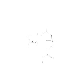 C=CC(=O)OC[N+](C)(C)CC(C)O.O=[N+]([O-])[O-]